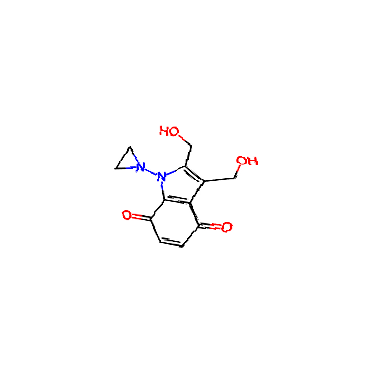 O=C1C=CC(=O)c2c1c(CO)c(CO)n2N1CC1